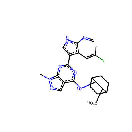 C=Nc1[nH]cc(-c2nc(NC3C4CCC(CC4)C3C(=O)O)c3cnn(C)c3n2)c1/C=C(\C)F